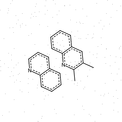 Cc1cc2ccccc2nc1C.c1ccc2ncccc2c1